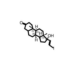 C[C@]12CCC(=O)CC1CC[C@@H]1[C@@H]2CC[C@@]2(C)[C@H]1CC[C@@]2(O)C=CI